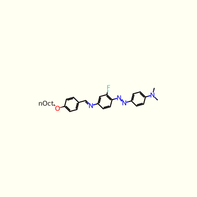 CCCCCCCCOc1ccc(/C=N/c2ccc(/N=N/c3ccc(N(C)C)cc3)c(F)c2)cc1